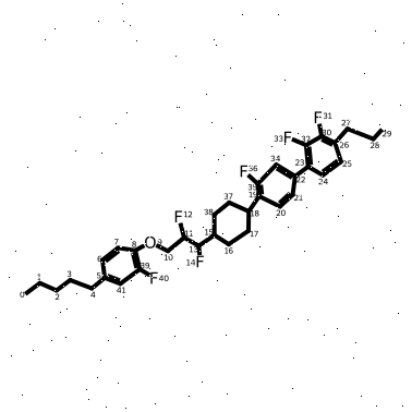 CCCCCc1ccc(OCC(F)C(F)C2CCC(c3ccc(-c4ccc(CCC)c(F)c4F)cc3F)CC2)c(F)c1